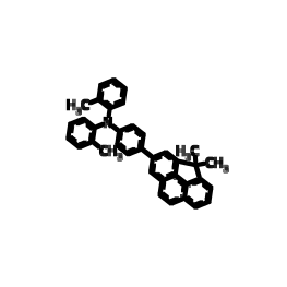 Cc1ccccc1N(c1ccc(-c2cc3c4c(ccc5cccc(c54)C3(C)C)c2)cc1)c1ccccc1C